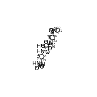 O=C(Nc1ccc(-c2noc(=O)[nH]2)cc1)[C@H](O)[C@H]1OCCN(c2ccc(C(=O)N3CCCC3)cc2)C1=O